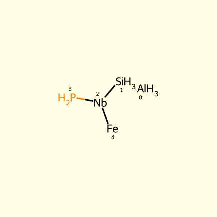 [AlH3].[SiH3][Nb]([PH2])[Fe]